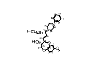 COc1ccc2c(c1)S[C@H](CCCN1CCN(c3ccccc3)CC1)[C@@H](O)CO2.Cl.Cl